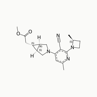 COC(=O)C[C@@H]1[C@H]2CN(c3cc(C)nc(N4CC[C@@H]4C)c3C#N)C[C@@H]12